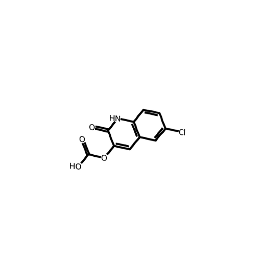 O=C(O)Oc1cc2cc(Cl)ccc2[nH]c1=O